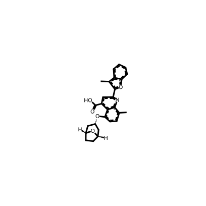 Cc1c(-c2cc(C(=O)O)c3c(O[C@H]4C[C@H]5CC[C@@H](C4)O5)ccc(C)c3n2)oc2ccccc12